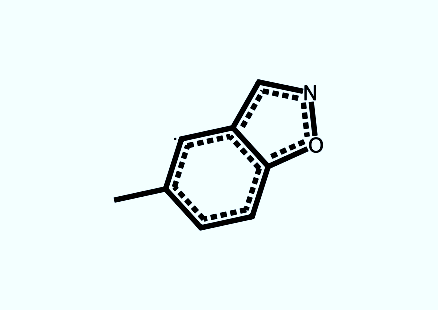 Cc1[c]c2cnoc2cc1